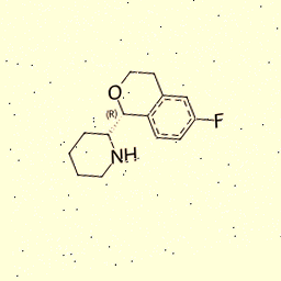 Fc1ccc2c(c1)CCO[C@H]2C1CCCCN1